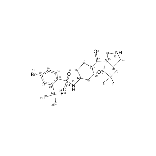 CC(C)(C)C(=O)[C@@]1(C(=O)N2CCC(NS(=O)(=O)c3ccc(Br)cc3C(F)(F)F)CC2)CCNC1